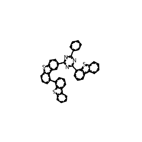 c1ccc(-c2nc(-c3ccc4sc5cccc(-c6cccc7c6sc6ccccc67)c5c4c3)nc(-c3cccc4c3sc3ccccc34)n2)cc1